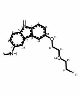 CNc1ccc2[nH]c3ccc(OCCOCCF)cc3c2c1